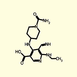 CCNc1ncc(C(=O)O)c(NC2CCN(C(N)=O)CC2)c1C=N